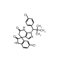 CC(C)(C)C(c1ccc(Cl)cc1)n1ncc2c1NC(=O)CC21C(=O)Nc2ccc(Cl)cc21